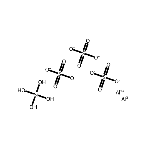 O=S(=O)([O-])[O-].O=S(=O)([O-])[O-].O=S(=O)([O-])[O-].O[Si](O)(O)O.[Al+3].[Al+3]